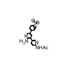 CC(=O)Nc1ccc(-c2cc(-c3ccc([SH](=O)=O)cc3)cnc2N)cn1